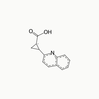 O=C(O)[C]1CC1c1ccc2ccccc2n1